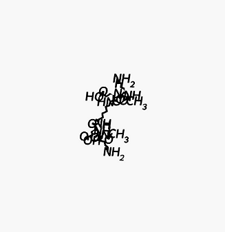 CC(=O)N[C@@H](CCCCN)C(=O)N[C@@H](CCC(=O)O)C(=O)NCCCCCCNC(=O)[C@H](CCC(=O)O)NC(=O)[C@H](CCCCN)NC(C)=O